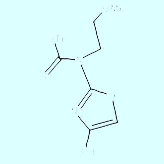 CCCC(=O)N(CCOC)c1nc(C)co1